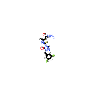 Cc1nc(-n2cnn(Cc3cc(F)cc(F)c3)c2=O)sc1C(N)=O